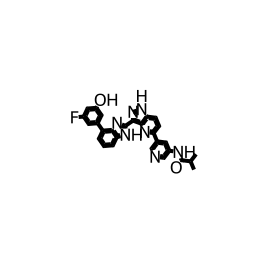 CC(C)C(=O)Nc1cncc(-c2ccc3[nH]nc(-c4nc5c(-c6cc(O)cc(F)c6)cccc5[nH]4)c3n2)c1